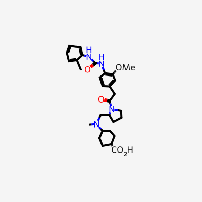 COc1cc(CC(=O)N2CCCC2CN(C)C2CCC(C(=O)O)CC2)ccc1NC(=O)Nc1ccccc1C